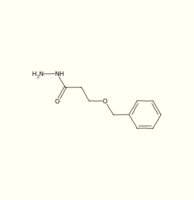 NNC(=O)CCOCc1ccccc1